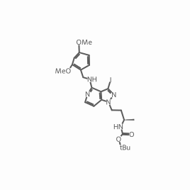 COc1ccc(CNc2nccc3c2c(I)nn3CC[C@@H](C)NC(=O)OC(C)(C)C)c(OC)c1